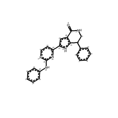 O=C1NCC(c2ccccc2)c2[nH]c(-c3ccnc(Nc4ccccc4)n3)cc21